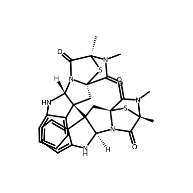 CN1C(=O)[C@@]23CC4([C@]56C[C@@]78S[C@@](C)(C(=O)N7[C@H]5Nc5ccccc56)N(C)C8=O)c5ccccc5N[C@@H]4N2C(=O)[C@]1(C)S3